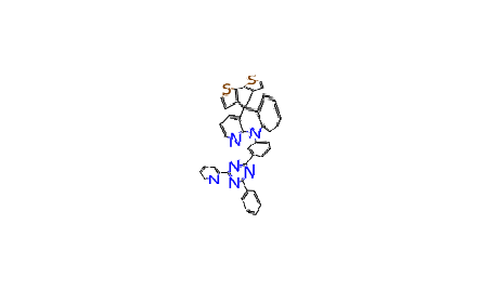 c1ccc(-c2nc(-c3cccc(N4c5ccccc5C5(c6cccnc64)c4ccsc4-c4sccc45)c3)nc(-c3ccccn3)n2)cc1